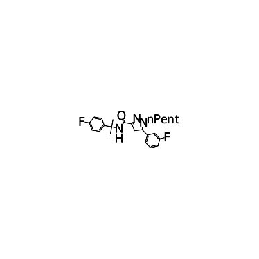 CCCCCN1N=C(C(=O)NC(C)(C)c2ccc(F)cc2)CC1c1cccc(F)c1